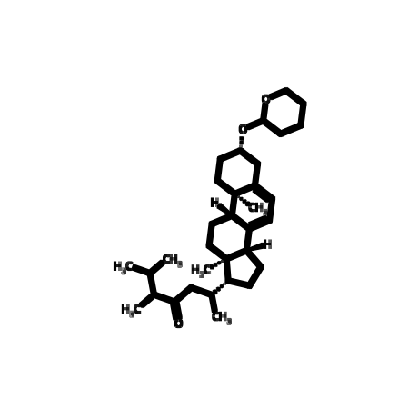 CC(C)C(C)C(=O)CC(C)[C@H]1CC[C@H]2C3=CC=C4C[C@@H](OC5CCCCO5)CC[C@]4(C)[C@H]3CC[C@]12C